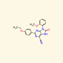 CCOc1ccc(-c2nc(C#N)c3[nH]c(=O)n(-c4ccccc4OC)c3n2)cc1